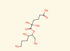 O=C(O)CCCC(O)(O)C(=O)OC(CO)C(O)CCCO